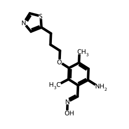 Cc1cc(N)c(C=NO)c(C)c1OCCCc1cncs1